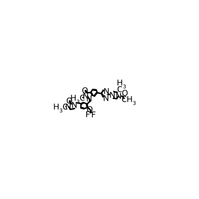 CC(=O)N1CCN(c2ncc(-c3ccc4c(=O)n(C)n(Cc5cc(CN6CCN(C)C6=O)ccc5OC(F)F)c4c3)cn2)CC1C